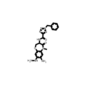 CN1C(=O)C(NC(=O)c2nnn(Cc3ccccc3)n2)COc2cc(NN)c(N)cc21